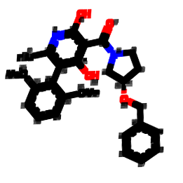 CCCCc1nc(O)c(C(=O)N2CC[C@H](OCc3ccccc3)C2)c(O)c1-c1c(OC)cccc1OC